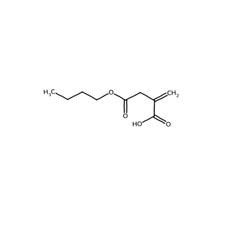 C=C(CC(=O)OCCCC)C(=O)O